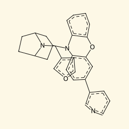 c1cncc(-c2ccc3c(c2)Oc2ccccc2N3C2CC3CCC(C2)N3Cc2ccoc2)c1